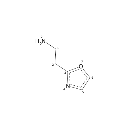 NCCc1ncco1